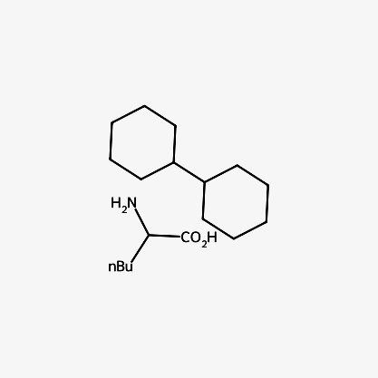 C1CCC(C2CCCCC2)CC1.CCCCC(N)C(=O)O